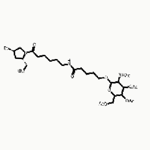 CC[C@@H]1C[C@@H](CC(C)(C)C)N(C(=O)CCCCCNC(=O)CCCCOC2OC(COC(C)=O)C(OC(C)=O)C(OC(C)=O)C2NC(C)=O)C1